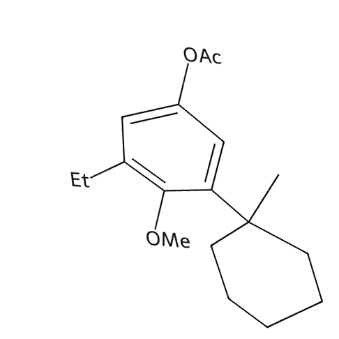 CCc1cc(OC(C)=O)cc(C2(C)CCCCC2)c1OC